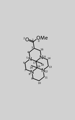 COC(=O)C1CN2CCN3CCCN4CCN(C1)C2(C)C34C